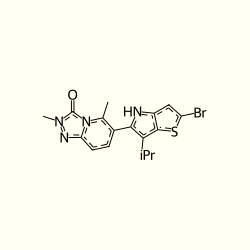 Cc1c(-c2[nH]c3cc(Br)sc3c2C(C)C)ccc2nn(C)c(=O)n12